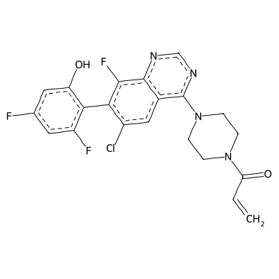 C=CC(=O)N1CCN(c2ncnc3c(F)c(-c4c(O)cc(F)cc4F)c(Cl)cc23)CC1